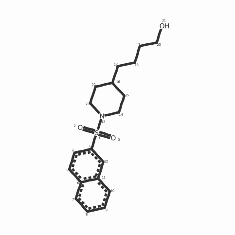 O=S(=O)(c1ccc2ccccc2c1)N1CCC(CCCCO)CC1